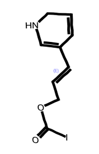 O=C(I)OC/C=C/C1=CNCC=C1